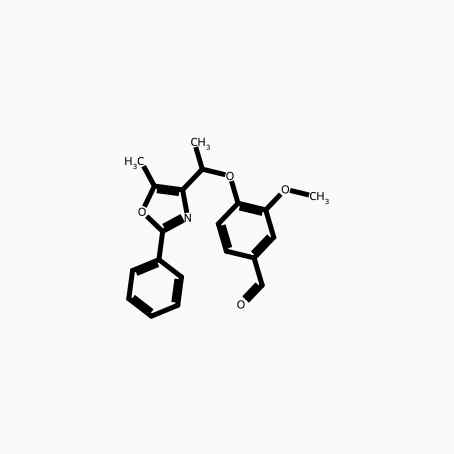 COc1cc(C=O)ccc1OC(C)c1nc(-c2ccccc2)oc1C